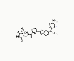 CN(C(=O)/C=C\C(N)=O)c1ccc2sc(-c3ccnc(NCCN4C(=O)NC(=O)C4(C)C)n3)cc2c1